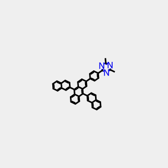 Cc1nc(C)nc(-c2ccc(-c3ccc4c(-c5ccc6ccccc6c5)c5ccccc5c(-c5ccc6ccccc6c5)c4c3)cc2)n1